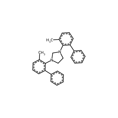 Cc1cccc(-c2ccccc2)c1N1CCN(c2c(C)cccc2-c2ccccc2)C1